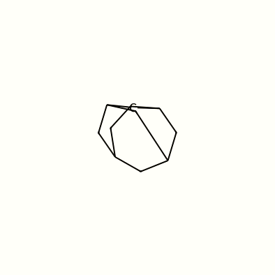 [CH]1CC2CC3CC1CC(C2)C3